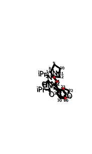 CC(C)C(=O)N[C@@H](CCN1C2CCC1CC1(C2)CN(CC2CCOCC2)C(=O)N1C(C)C)c1ccccc1